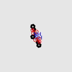 O=S(=O)(Nc1ccccc1NS(=O)(=O)c1cc2ccccc2o1)C1=CC2C=CC=CC2O1